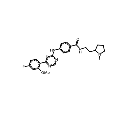 COc1cc(F)ccc1-c1ncnc(Nc2ccc(C(=O)NCCC3CCCN3C)cc2)n1